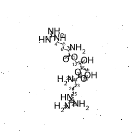 N=C(N)NCCCC(N)C(=O)OCC(O)C(CO)OC(=O)C(N)CCCNC(N)N